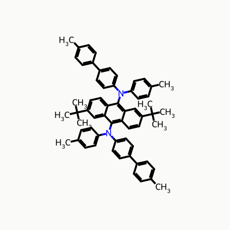 Cc1ccc(-c2ccc(N(c3ccc(C)cc3)c3c4ccc(C(C)(C)C)cc4c(N(c4ccc(C)cc4)c4ccc(-c5ccc(C)cc5)cc4)c4ccc(C(C)(C)C)cc34)cc2)cc1